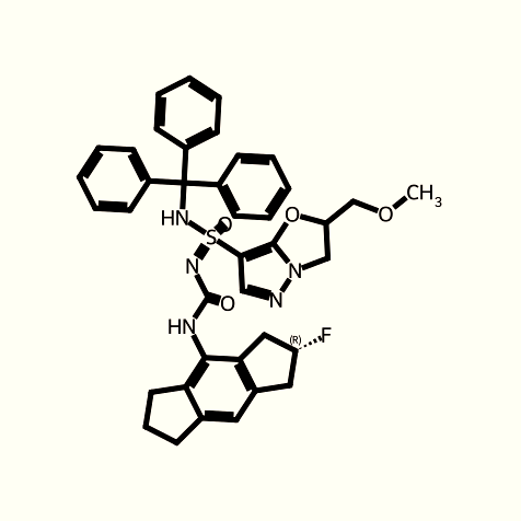 COCC1Cn2ncc(S(=O)(=NC(=O)Nc3c4c(cc5c3C[C@H](F)C5)CCC4)NC(c3ccccc3)(c3ccccc3)c3ccccc3)c2O1